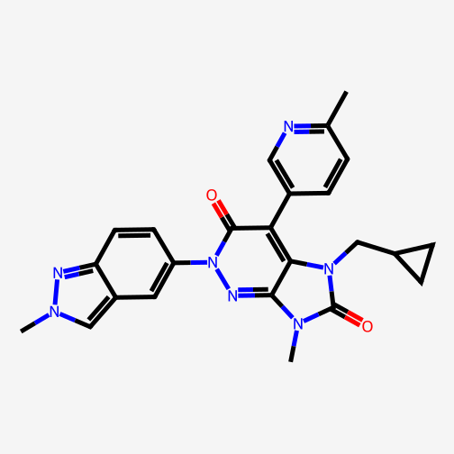 Cc1ccc(-c2c(=O)n(-c3ccc4nn(C)cc4c3)nc3c2n(CC2CC2)c(=O)n3C)cn1